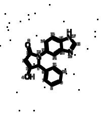 O=C1[C]=C(O)C(c2ccccc2)N1c1ccc2[nH]cnc2c1